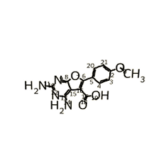 COc1ccc(-c2oc3nc(N)nc(N)c3c2C(=O)O)cc1